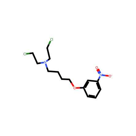 O=[N+]([O-])c1cccc(OCCCCN(CCCl)CCCl)c1